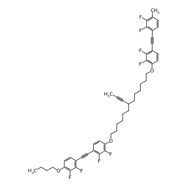 CC#CC(CCCCCCOc1ccc(C#Cc2ccc(C)c(F)c2F)c(F)c1F)CCCCCCOc1ccc(C#Cc2ccc(OCCCC)c(F)c2F)c(F)c1F